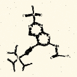 CC(C)[Si](C#Cc1cc(NC(N)=O)nc2nc(S(C)(=O)=O)ncc12)(C(C)C)C(C)C